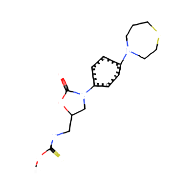 CC(C)OC(=S)NCC1CN(c2ccc(N3CCCSCC3)cc2)C(=O)O1